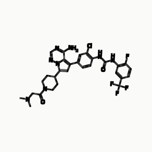 CN(C)CC(=O)N1CCC(c2cc(-c3ccc(NC(=O)Nc4cc(C(F)(F)F)ccc4F)c(Cl)c3)c3c(N)ncnn23)CC1